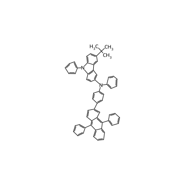 CC(C)(C)c1ccc2c(c1)c1cc(N(c3ccccc3)c3ccc(-c4ccc5c(-c6ccccc6)c6ccccc6c(-c6ccccc6)c5c4)cc3)ccc1n2-c1ccccc1